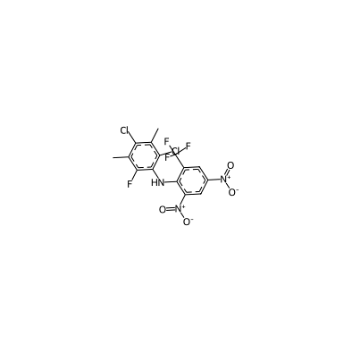 Cc1c(F)c(Nc2c([N+](=O)[O-])cc([N+](=O)[O-])cc2C(F)(F)F)c(Cl)c(C)c1Cl